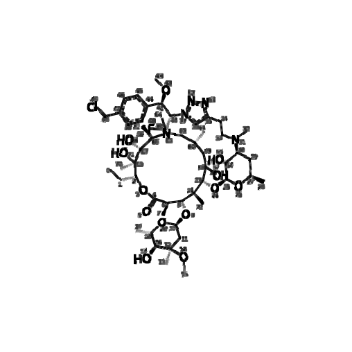 CC[C@H]1OC(=O)[C@H](C)[C@@H](O[C@H]2C[C@@](C)(OC)[C@@H](O)[C@H](C)O2)[C@H](C)[C@@H](O[C@@H]2O[C@H](C)C[C@H](N(C)CCc3cn([C@H](CF)[C@H](OC)c4ccc(CCl)cc4)nn3)[C@H]2O)[C@](C)(O)C[C@@H](C)CN(C)[C@H](C)[C@@H](O)[C@]1(C)O